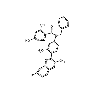 Cc1cc(N(Cc2ccccc2)C(=O)c2ccc(O)cc2O)ccc1-c1nc2cc(F)ccc2cc1C